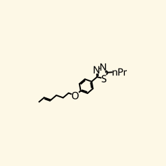 C/C=C/CCCOc1ccc(-c2nnc(CCC)s2)cc1